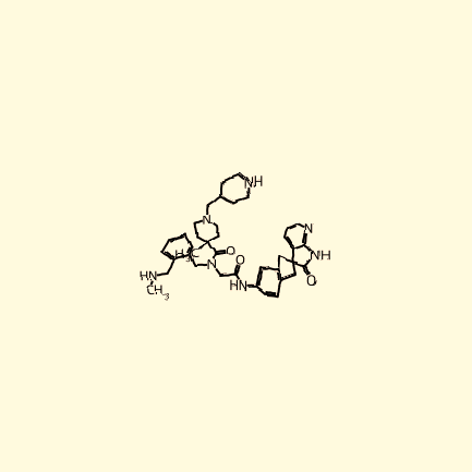 CNCc1ccccc1CN(CC(=O)Nc1ccc2c(c1)CC1(C2)C(=O)Nc2ncccc21)C(=O)C1(C)CCN(CC2CCNCC2)CC1